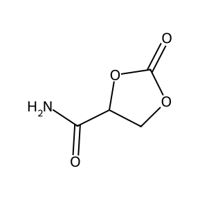 NC(=O)C1COC(=O)O1